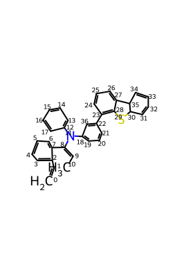 C=Cc1ccccc1/C(=C\C)N(c1ccccc1)c1cccc(-c2cccc3c2SC2C=CC=CC32)c1